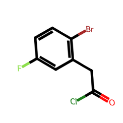 O=C(Cl)Cc1cc(F)ccc1Br